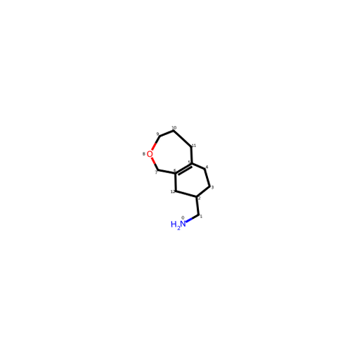 NCC1CCC2=C(COCCC2)C1